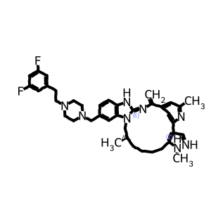 C=C1/N=C2\Nc3ccc(CN4CCN(CCc5cc(F)cc(F)c5)CC4)cc3N2C[C@H](C)CCCC/C(NC)=C(/C=N)c2cc1cc(C)n2